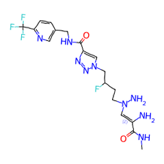 CNC(=O)/C(N)=C/N(N)CCC(F)Cn1cc(C(=O)NCc2ccc(C(F)(F)F)nc2)nn1